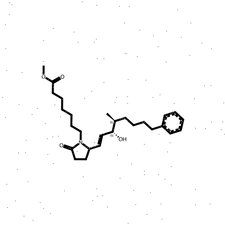 COC(=O)CCCCCCN1C(=O)CCC1C=C[C@@H](O)[C@@H](C)CCCCc1ccccc1